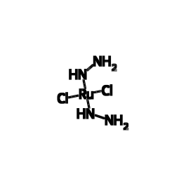 N[NH][Ru]([Cl])([Cl])[NH]N